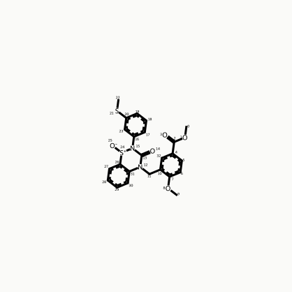 COC(=O)c1ccc(OC)c(CN2C(=O)N(c3cccc(SC)c3)[S+]([O-])c3ccccc32)c1